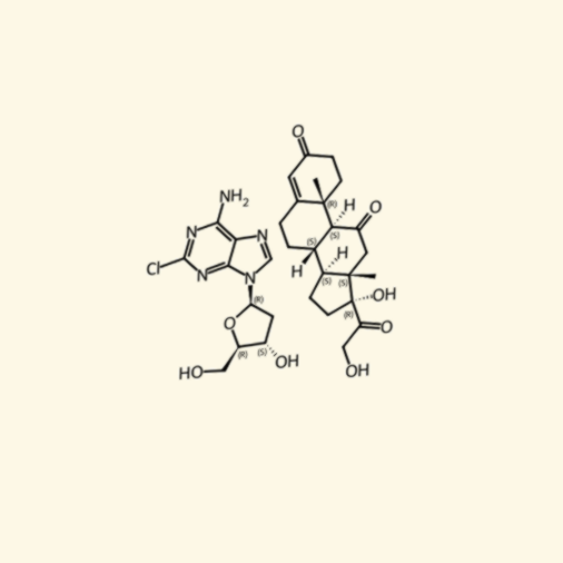 C[C@]12CCC(=O)C=C1CC[C@@H]1[C@@H]2C(=O)C[C@@]2(C)[C@H]1CC[C@]2(O)C(=O)CO.Nc1nc(Cl)nc2c1ncn2[C@H]1C[C@H](O)[C@@H](CO)O1